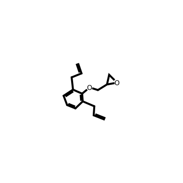 C=CCc1cccc(CC=C)c1OCC1CO1